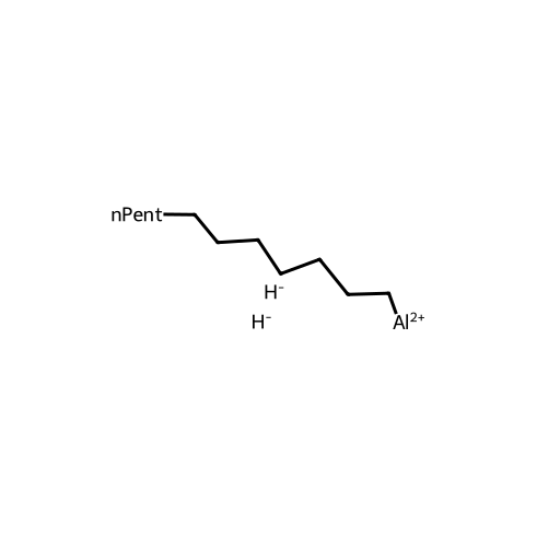 CCCCCCCCCCC[CH2][Al+2].[H-].[H-]